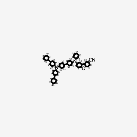 N#Cc1ccc2oc3ccc(N(c4ccccc4)c4ccc(-c5ccc(N(c6ccc(-c7ccccc7)cc6)c6ccc(-c7ccccc7)cc6)cc5)cc4)cc3c2c1